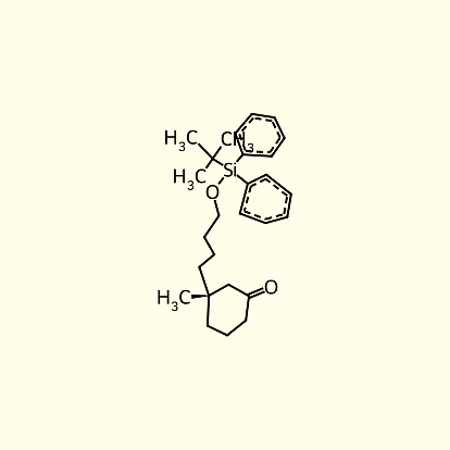 CC(C)(C)[Si](OCCCC[C@@]1(C)CCCC(=O)C1)(c1ccccc1)c1ccccc1